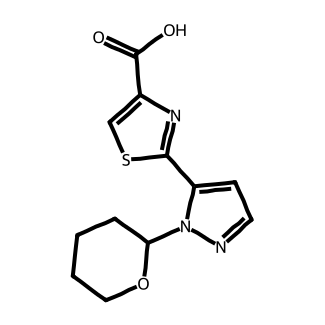 O=C(O)c1csc(-c2ccnn2C2CCCCO2)n1